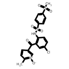 Cc1ccc(C(=O)c2cc(Cl)ccc2NS(=O)(=O)c2ccc(S(C)(=O)=O)cc2)c[n+]1[O-]